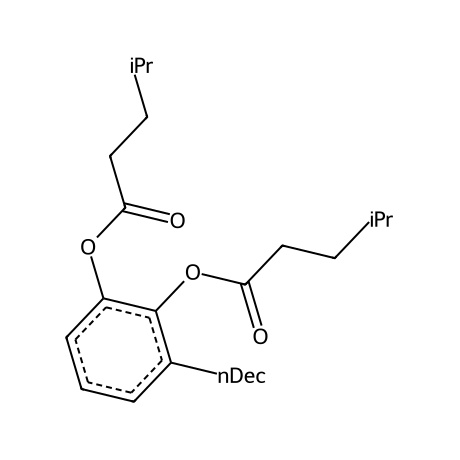 CCCCCCCCCCc1cccc(OC(=O)CCC(C)C)c1OC(=O)CCC(C)C